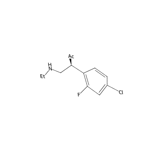 CCNC[C@@H](C(C)=O)c1ccc(Cl)cc1F